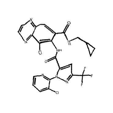 O=C(NCC1CC1)c1cc2nccnc2c(Cl)c1NC(=O)c1cc(C(F)(F)F)nn1-c1ncccc1Cl